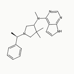 C[C@H](c1ccccc1)N1CC(N(C)c2ncnc3[nH]ccc23)C(C)(C)C1